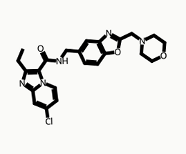 CCc1nc2cc(Cl)ccn2c1C(=O)NCc1ccc2oc(CN3CCOCC3)nc2c1